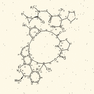 CCN1C[C@@H]1C(=O)N(C)CC(=O)N(C)C(C(=O)N[C@H]1Cc2cc(O)cc(c2)-c2ccc3c(c2)c(c(-c2cccnc2[C@H](C)OC)n3CC)CC(C)(C)COC(=O)[C@@H]2CCCN(N2)C1=O)C1CCCC1